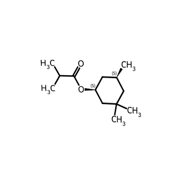 CC(C)C(=O)O[C@H]1C[C@@H](C)CC(C)(C)C1